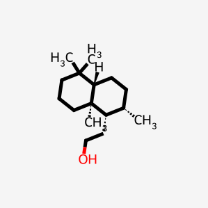 C[C@H]1CC[C@H]2C(C)(C)CCC[C@]2(C)[C@H]1CCO